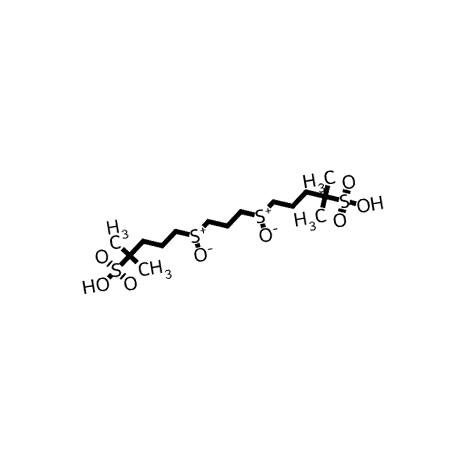 CC(C)(CCC[S+]([O-])CCC[S+]([O-])CCCC(C)(C)S(=O)(=O)O)S(=O)(=O)O